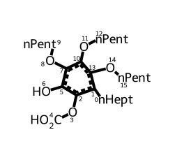 CCCCCCCc1c(OC(=O)O)c(O)c(OCCCCC)c(OCCCCC)c1OCCCCC